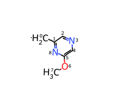 [CH2]c1cncc(OC)n1